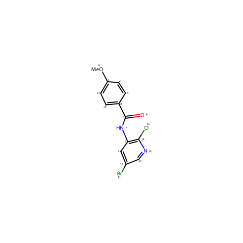 COc1ccc(C(=O)Nc2cc(Br)cnc2Cl)cc1